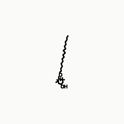 CCCCCCCCCCCCCCCCCCOCN1C(C)(C)CC(O)CC1(C)C